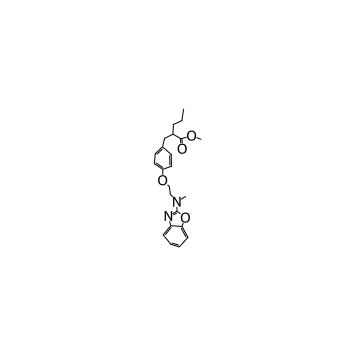 CCCC(Cc1ccc(OCCN(C)c2nc3ccccc3o2)cc1)C(=O)OC